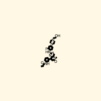 C=CC(=O)Nc1cccc(-c2cc(=O)n(C)c3cnc(Nc4ccc(N5CCN(CCO)CC5)cc4F)nc23)c1